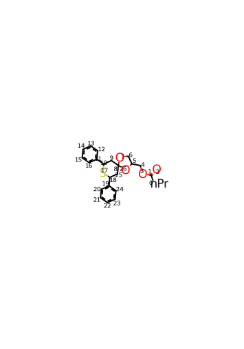 CCCC(=O)OCC1COC2(CC(c3ccccc3)SC(c3ccccc3)C2)O1